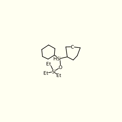 CC[Si](CC)(CC)O[SiH](C1CCCCC1)C1CCCCC1